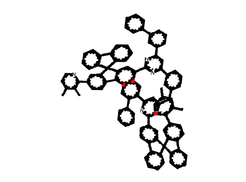 Cc1cnc(-c2ccc3c(c2)C2(c4ccccc4-c4ccc(-c5nc(Cc6cccc(-c7cc(-c8cccc(-c9ccccc9)c8)nc(-c8ccc9c(c8)C8(c%10ccccc%10-c%10ccccc%108)c8cc(-c%10nccc(C)c%10C)ccc8-9)n7)c6)cc(-c6ccccc6-c6ccccc6)n5)cc42)c2ccccc2-3)c(C)c1